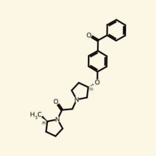 C[C@@H]1CCCN1C(=O)CN1CC[C@H](Oc2ccc(C(=O)c3ccccc3)cc2)C1